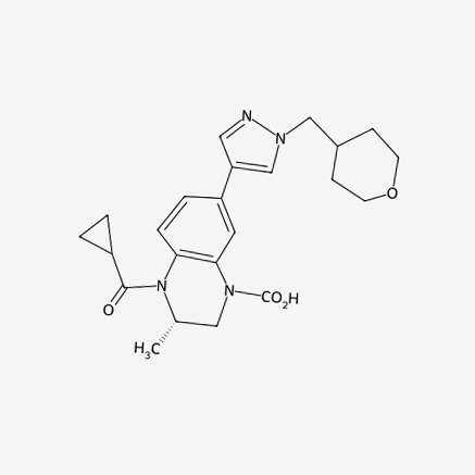 C[C@H]1CN(C(=O)O)c2cc(-c3cnn(CC4CCOCC4)c3)ccc2N1C(=O)C1CC1